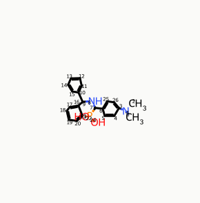 CN(C)c1ccc(C(NC(c2ccccc2)c2ccccc2)P(O)O)cc1